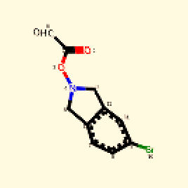 O=CC(=O)ON1Cc2ccc(Br)cc2C1